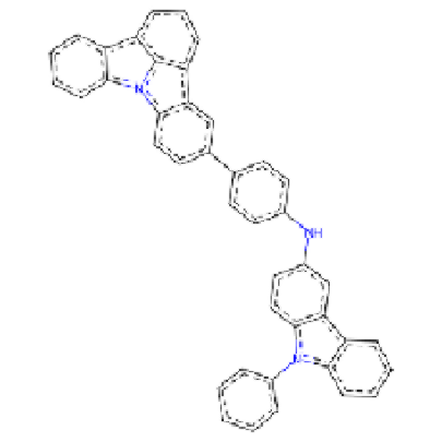 c1ccc(-n2c3ccccc3c3cc(Nc4ccc(-c5ccc6c(c5)c5cccc7c8ccccc8n6c75)cc4)ccc32)cc1